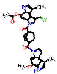 COc1cc2c(c3c(C)c[nH]c13)CCN2C(=O)C12CCC(C(=O)N3CC(CCl)c4c3cc(OC(C)=O)c3[nH]cc(C)c43)(CC1)C2